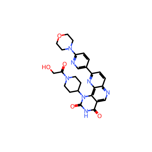 O=C(CO)N1CCC(n2c(=O)[nH]c(=O)c3cnc4ccc(-c5ccc(N6CCOCC6)nc5)nc4c32)CC1